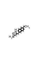 CCc1ccc2cc(C[C@H](O)CC(N)=O)ccc2c1